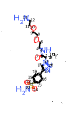 CC(C)[C@@H](C(=O)NCCOCCOCCN)n1cc(-c2ccc(S(N)(=O)=O)cc2)nn1